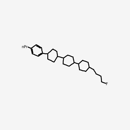 CCCc1ccc(C2CCC(C3CCC(C4CCC(CCCCF)CC4)CC3)CC2)cc1